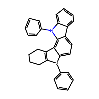 c1ccc(B2C3=C(CCCC3)c3c2ccc2c4ccccc4n(-c4ccccc4)c32)cc1